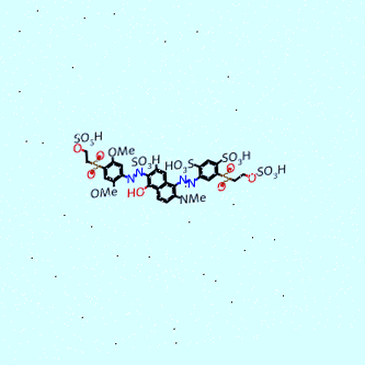 CNc1ccc2c(O)c(/N=N/c3cc(OC)c(S(=O)(=O)CCOS(=O)(=O)O)cc3OC)c(S(=O)(=O)O)cc2c1/N=N/c1cc(S(=O)(=O)CCOS(=O)(=O)O)c(S(=O)(=O)O)cc1S(=O)(=O)O